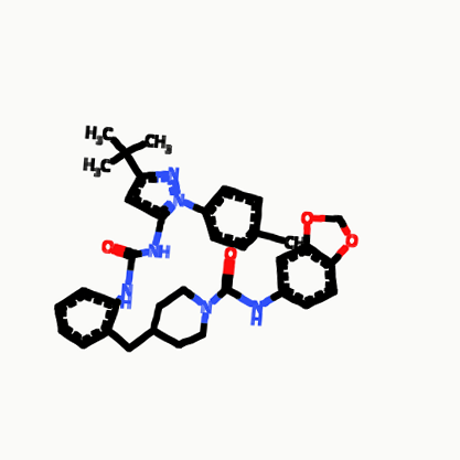 Cc1ccc(-n2nc(C(C)(C)C)cc2NC(=O)Nc2ccccc2CC2CCN(C(=O)Nc3ccc4c(c3)OCO4)CC2)cc1